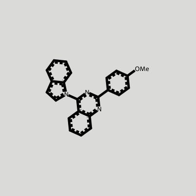 COc1ccc(-c2nc(-n3ccc4ccccc43)c3ccccc3n2)cc1